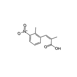 CC(=Cc1cccc([N+](=O)[O-])c1C)C(=O)O